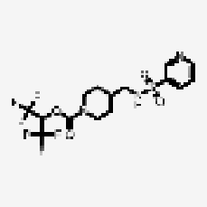 O=C(OC(C(F)(F)F)C(F)(F)F)N1CCC(CNS(=O)(=O)c2cccnc2)CC1